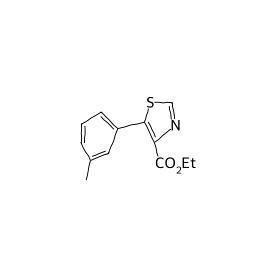 CCOC(=O)c1ncsc1-c1cccc(C)c1